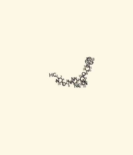 C#Cc1ccc(OC2CN(c3ccc(-c4cc(OCC5CCN(C(=O)OC(C)(C)C)CC5)cn5ncc(C#N)c45)cn3)C2)cn1